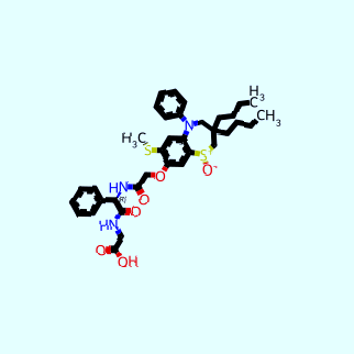 CCCCC1(CCCC)CN(c2ccccc2)c2cc(SC)c(OCC(=O)N[C@@H](C(=O)NCC(=O)O)c3ccccc3)cc2[S+]([O-])C1